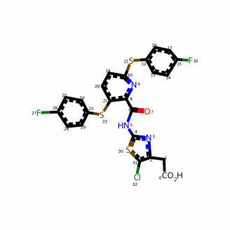 O=C(O)Cc1nc(NC(=O)c2nc(Sc3ccc(F)cc3)ccc2Sc2ccc(F)cc2)sc1Cl